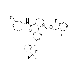 Cc1cccc(F)c1COCN1CCC[C@H](C(=O)NC2CCCC(C)C(Cl)C2)[C@@H]1c1ccc(CN2CCCC2C(F)(F)F)cc1